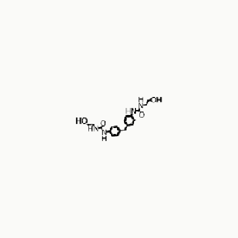 O=C(NCCO)Nc1ccc(Cc2ccc(NC(=O)NCCO)cc2)cc1